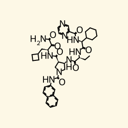 CC[C@H](NC(=O)[C@@H](NC(=O)c1cnccn1)C1CCCCC1)C(=O)N[C@H]1CN(C(=O)Nc2ccc3ccccc3c2)C[C@H]1C(=O)N[C@@H](CC1CCC1)C(=O)C(N)=O